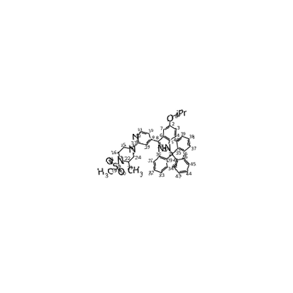 CC(C)Oc1ccc2c(c1)c(-c1ccnc(N3CCN(S(C)(=O)=O)C(C)C3)c1)nn2C(c1ccccc1)(c1ccccc1)c1ccccc1